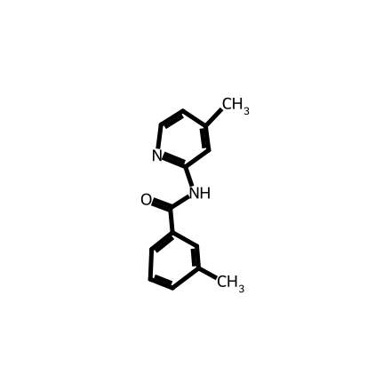 Cc1cccc(C(=O)Nc2cc(C)ccn2)c1